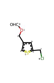 O=COCc1csc(CCl)c1